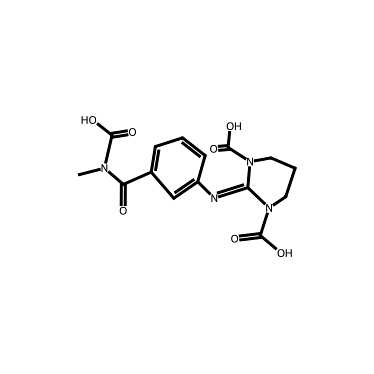 CN(C(=O)O)C(=O)c1cccc(N=C2N(C(=O)O)CCCN2C(=O)O)c1